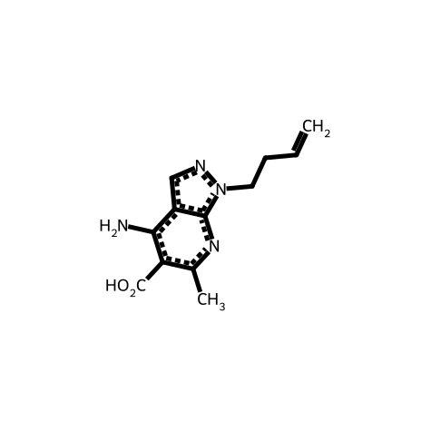 C=CCCn1ncc2c(N)c(C(=O)O)c(C)nc21